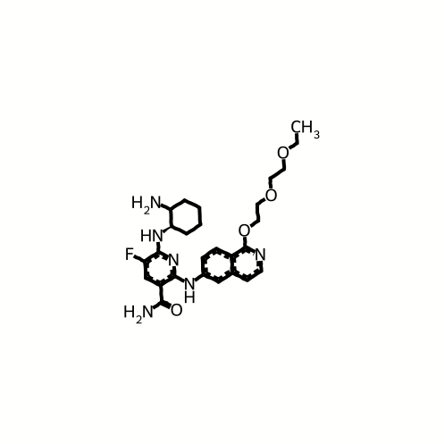 CCOCCOCCOc1nccc2cc(Nc3nc(N[C@@H]4CCCCC4N)c(F)cc3C(N)=O)ccc12